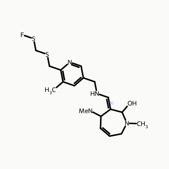 CNC1C=CCN(C)C(O)/C1=C/NCc1cnc(CSCSF)c(C)c1